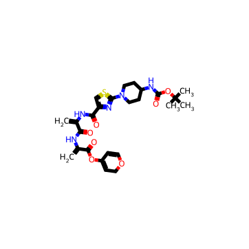 C=C(NC(=O)c1csc(N2CCC(NC(=O)OC(C)(C)C)CC2)n1)C(=O)NC(=C)C(=O)OC1=CCOC=C1